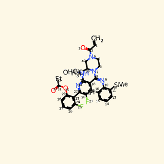 C=CC(=O)N1CCN(/C(=N/c2c(SC)cccc2C(C)C)c2cc(F)c(-c3c(F)cccc3OC(=O)CC)nc2NC=O)C(C)C1